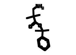 CC(C)(CN)C(=O)OC(C)(C)c1ccccc1